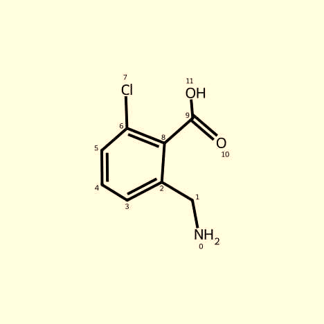 NCc1cccc(Cl)c1C(=O)O